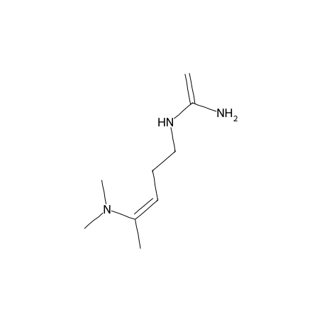 C=C(N)NCC/C=C(/C)N(C)C